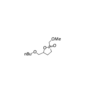 CCCCOCC1CCP(=O)(COC)O1